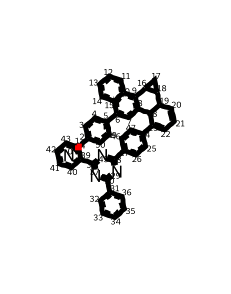 N#Cc1ccc(-c2cc3c(c4ccccc24)C2CC2C2C=CC=C(c4ccc(-c5nc(-c6ccccc6)nc(-c6ccccc6)n5)cc4)C32)cc1